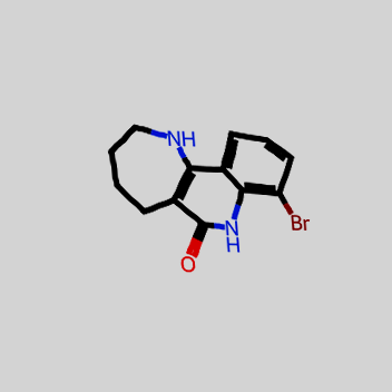 O=c1[nH]c2c(Br)cccc2c2c1CCCCN2